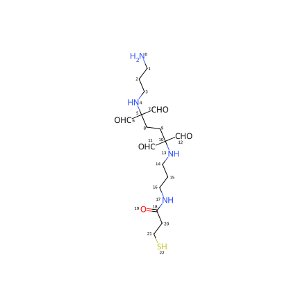 NCCCNC(C=O)(C=O)CCC(C=O)(C=O)NCCCNC(=O)CCS